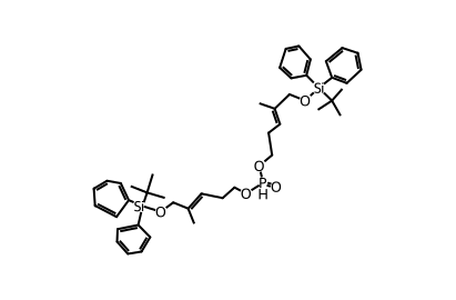 C/C(=C\CCO[PH](=O)OCC/C=C(\C)CO[Si](c1ccccc1)(c1ccccc1)C(C)(C)C)CO[Si](c1ccccc1)(c1ccccc1)C(C)(C)C